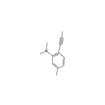 CC#Cc1ccc(C)cc1N(C)C